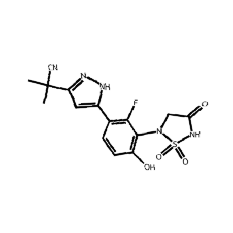 CC(C)(C#N)c1cc(-c2ccc(O)c(N3CC(=O)NS3(=O)=O)c2F)[nH]n1